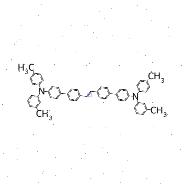 Cc1ccc(N(c2ccc(-c3ccc(/C=C/c4ccc(-c5ccc(N(c6ccc(C)cc6)c6cccc(C)c6)cc5)cc4)cc3)cc2)c2cccc(C)c2)cc1